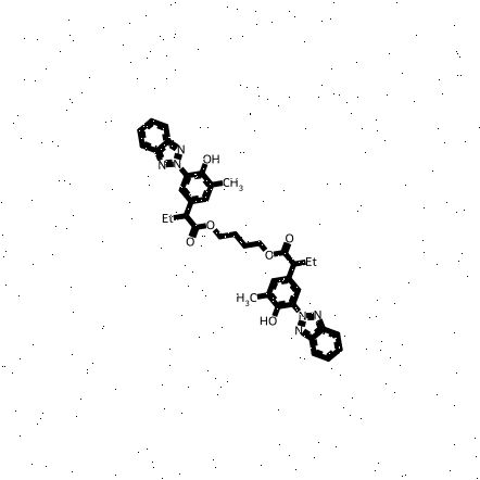 CCC(C(=O)OCCCCOC(=O)C(CC)c1cc(C)c(O)c(-n2nc3ccccc3n2)c1)c1cc(C)c(O)c(-n2nc3ccccc3n2)c1